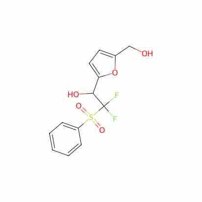 O=S(=O)(c1ccccc1)C(F)(F)C(O)c1ccc(CO)o1